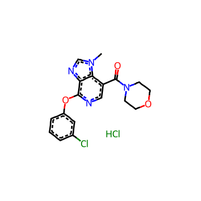 Cl.Cn1cnc2c(Oc3cccc(Cl)c3)ncc(C(=O)N3CCOCC3)c21